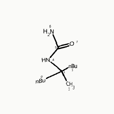 CCCCC(C)(CCCC)NC(N)=O